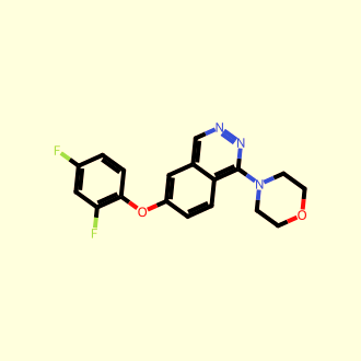 Fc1ccc(Oc2ccc3c(N4CCOCC4)nncc3c2)c(F)c1